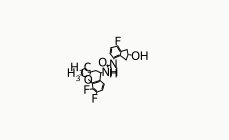 CC1(C)C[C@@H](NC(=O)Nc2ccc(F)c3c2C[C@H](O)C3)c2ccc(F)c(F)c2O1